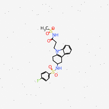 CS(=O)(=O)NC(=O)CCn1c2c(c3ccccc31)CC(NS(=O)(=O)c1ccc(F)cc1)CC2